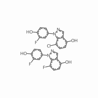 Oc1ccc(-n2ncc3c(O)ccc(Cl)c32)cc1F.Oc1ccc(-n2ncc3c(O)ccc(F)c32)cc1F